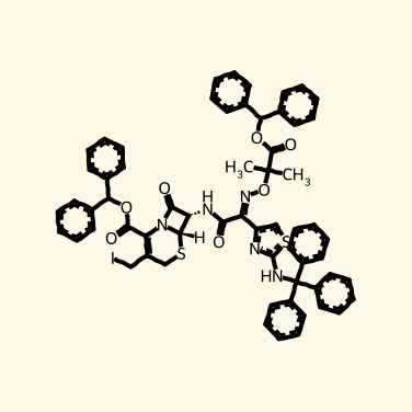 CC(C)(ON=C(C(=O)N[C@H]1C(=O)N2C(C(=O)OC(c3ccccc3)c3ccccc3)=C(CI)CS[C@@H]12)c1csc(NC(c2ccccc2)(c2ccccc2)c2ccccc2)n1)C(=O)OC(c1ccccc1)c1ccccc1